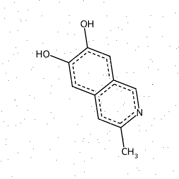 Cc1cc2cc(O)c(O)cc2cn1